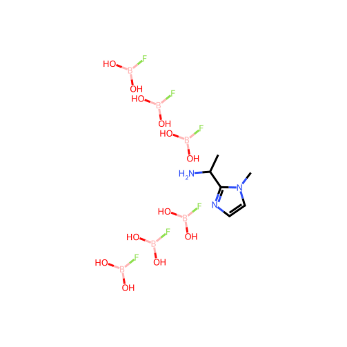 CC(N)c1nccn1C.OB(O)F.OB(O)F.OB(O)F.OB(O)F.OB(O)F.OB(O)F